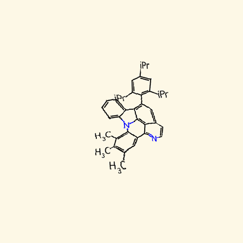 Cc1cc2c3nccc4cc(-c5c(C(C)C)cc(C(C)C)cc5C(C)C)c5c6ccccc6n(c2c(C)c1C)c5c43